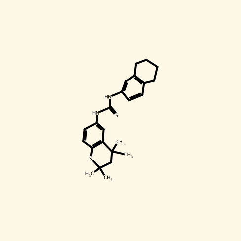 CC1(C)CC(C)(C)c2cc(NC(=S)Nc3ccc4c(c3)CCCC4)ccc2S1